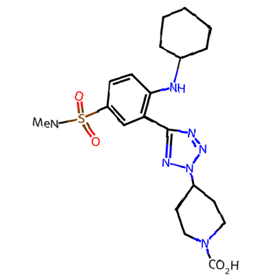 CNS(=O)(=O)c1ccc(NC2CCCCC2)c(-c2nnn(C3CCN(C(=O)O)CC3)n2)c1